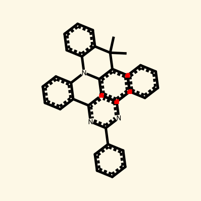 CC1(C)c2ccccc2N(c2ccccc2-c2nc(-c3ccccc3)nc(-c3ccccc3)n2)c2ccccc21